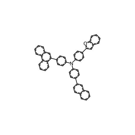 c1ccc2cc(-c3ccc(N(c4ccc(-c5cc6ccccc6o5)cc4)c4ccc(-c5cc6ccccc6c6ccccc56)cc4)cc3)ccc2c1